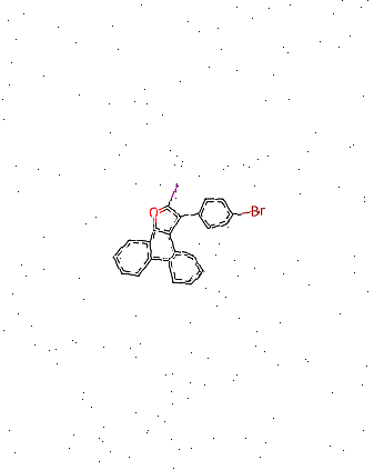 Brc1ccc(-c2c(I)oc3c4ccccc4c4ccccc4c23)cc1